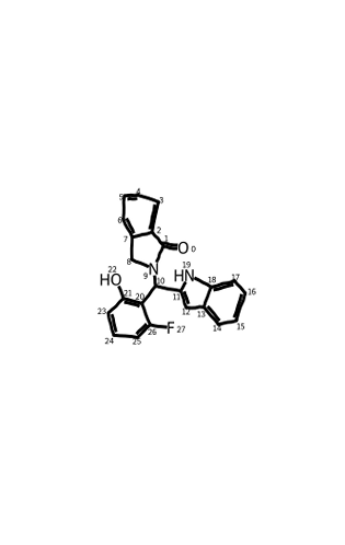 O=C1c2ccccc2CN1C(c1cc2ccccc2[nH]1)c1c(O)cccc1F